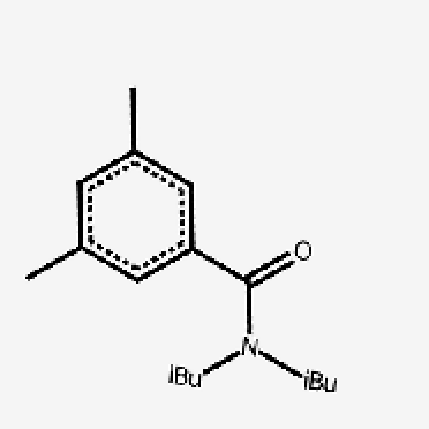 CCC(C)N(C(=O)c1cc(C)cc(C)c1)C(C)CC